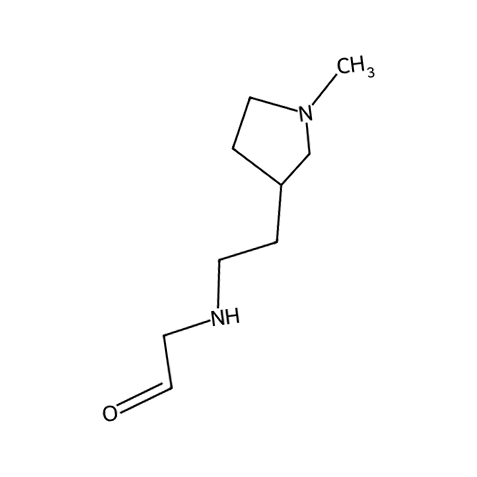 CN1CCC(CCNCC=O)C1